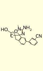 CN1OC2(N=C1N)c1cc(-c3cccc(C#N)c3)ccc1CC21CCC(O)CC1